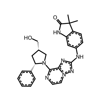 CC1(C)C(=O)Nc2cc(Nc3nc4c(N5C[C@@H](CO)C[C@H]5c5ccccc5)nccn4n3)ccc21